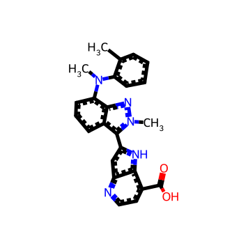 Cc1ccccc1N(C)c1cccc2c(-c3cc4nccc(C(=O)O)c4[nH]3)n(C)nc12